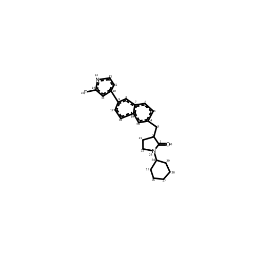 O=C1C(Cc2ccc3cc(-c4ccnc(F)c4)ccc3c2)CCN1C1CCCCC1